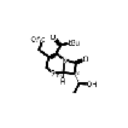 CC(=O)OCC1=C(C(=O)C(C)(C)C)N2C(=O)[C@H](C(C)O)[C@@H]2SC1